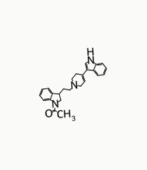 CC(=O)N1CC(CCN2CC=C(c3c[nH]c4ccccc34)CC2)c2ccccc21